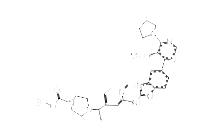 C=N/C(=C\C(=C/C)C(C)N1CCN(C(=O)OC(C)(C)C)CC1)Nc1nc2ccc(-c3ncnc(N4CCCC4)c3OC)cc2[nH]1